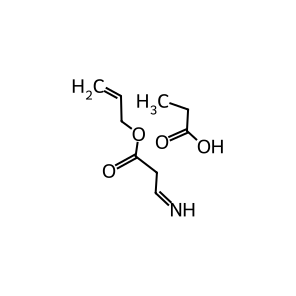 C=CCOC(=O)CC=N.CCC(=O)O